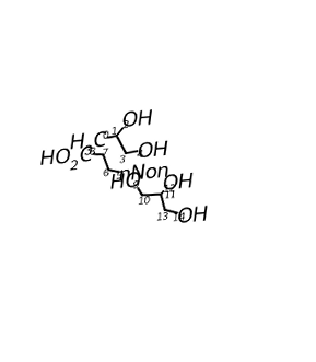 CC(O)CO.CCCCCCCCCCCC(=O)O.OCC(O)CO